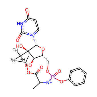 [2H]C([2H])([2H])[C@@]1(O)[C@H](O)[C@@H](CO[P@@](=O)(NC(C)C(=O)OC(C)C)Oc2ccccc2)O[C@H]1n1ccc(=O)[nH]c1=O